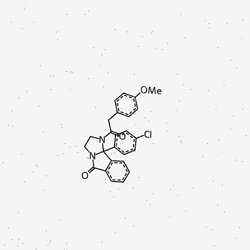 COc1ccc(CC(=O)N2CCN3C(=O)c4ccccc4C23c2ccc(Cl)cc2)cc1